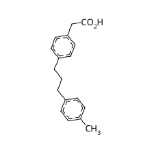 Cc1ccc(CCCc2ccc(CC(=O)O)cc2)cc1